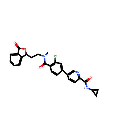 CN(CCC1OC(=O)c2ccccc21)C(=O)c1ccc(-c2ccc(C(=O)NC3CC3)nc2)cc1Cl